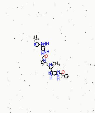 Cc1cc(-c2n[nH]c3cc4[nH]c(C(=O)Cc5cccc(CCc6cc(-c7n[nH]c8cc9[nH]c(C(=O)Cc%10ccccc%10)nc9cc78)cc(C)n6)n5)nc4cc23)ccn1